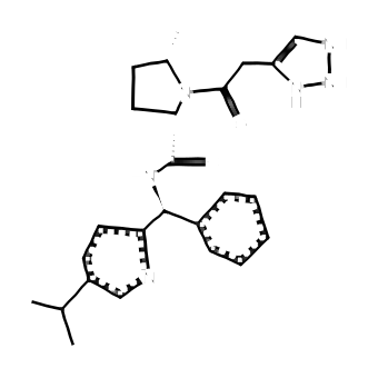 CC(C)c1ccc([C@@H](NC(=O)[C@@H]2CC[C@H](C)N2C(=O)CC2=CNNN2)c2ccccc2)nc1